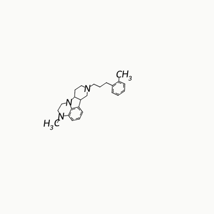 Cc1ccccc1CCCN1CCC2C(C1)c1cccc3c1N2CCN3C